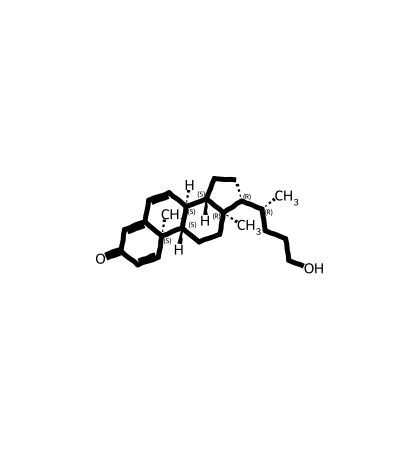 C[C@H](CCCO)[C@H]1CC[C@H]2[C@@H]3C=CC4=CC(=O)C=C[C@]4(C)[C@H]3CC[C@]12C